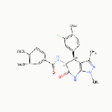 COc1ccc([C@H]2c3c(C)nn(C)c3NC(=O)[C@@H]2NC(=O)c2ccc(OC)c(OC)c2)cc1F